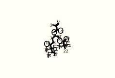 C=C(C)C(=O)OC(CCC(=O)C(F)(F)C(F)F)COC(=O)C(C)(F)F